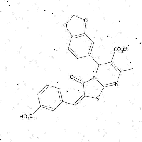 CCOC(=O)C1=C(C)N=c2sc(=Cc3cccc(C(=O)O)c3)c(=O)n2C1c1ccc2c(c1)OCO2